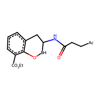 CCOC(=O)c1cccc2c1OBC(NC(=O)CCC(C)=O)C2